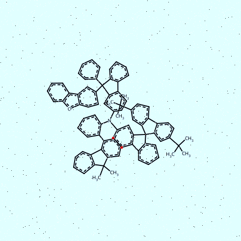 CC(C)(C)c1ccc2c(c1)C1(c3ccccc3-c3ccc(N(c4ccc5c(c4)C(c4ccccc4)(c4ccc6oc7ccccc7c6c4)c4ccccc4-5)c4ccccc4-c4cccc5c4-c4ccccc4C5(C)C)cc31)c1cc(C(C)(C)C)ccc1-2